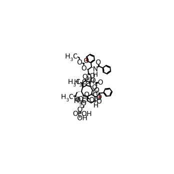 CCOC(=O)O[C@@H](C(=O)O[C@@H]1C(C)=C2[C@@H](CC(C)=O)C(=O)[C@]3(C)[C@@H](OCOP(=O)(O)O)C[C@H]4OO[C@@]4(OC(C)=O)[C@H]3[C@H](OC(=O)c3ccccc3)[C@@]3(OC(=O)O[C@@H]13)C2(C)C)[C@@H](NC(=O)c1ccccc1)c1ccccc1